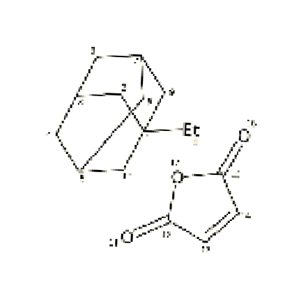 CCC12CC3CC(CC(C3)C1)C2.O=C1C=CC(=O)O1